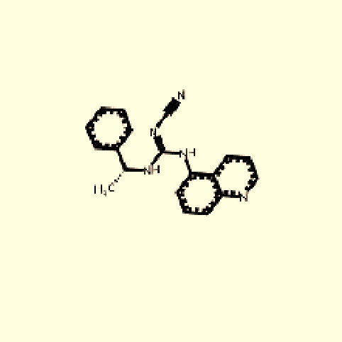 C[C@@H](N/C(=N/C#N)Nc1cccc2ncccc12)c1ccccc1